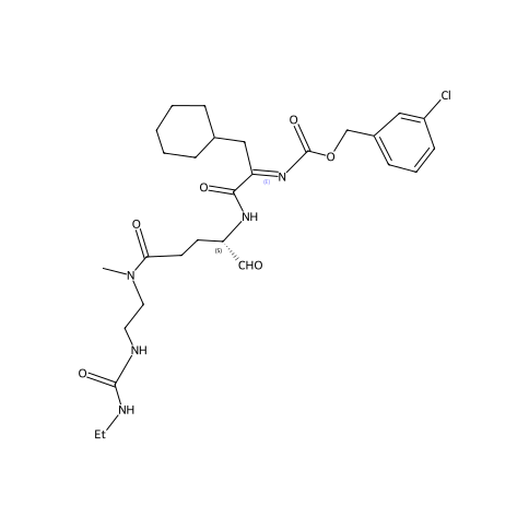 CCNC(=O)NCCN(C)C(=O)CC[C@@H](C=O)NC(=O)/C(CC1CCCCC1)=N/C(=O)OCc1cccc(Cl)c1